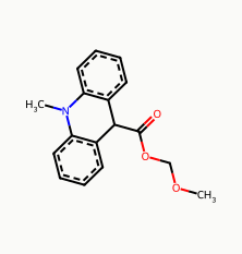 COCOC(=O)C1c2ccccc2N(C)c2ccccc21